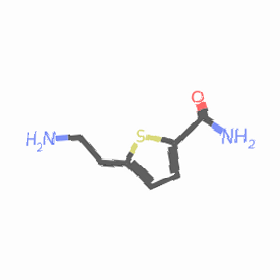 NCCc1ccc(C(N)=O)s1